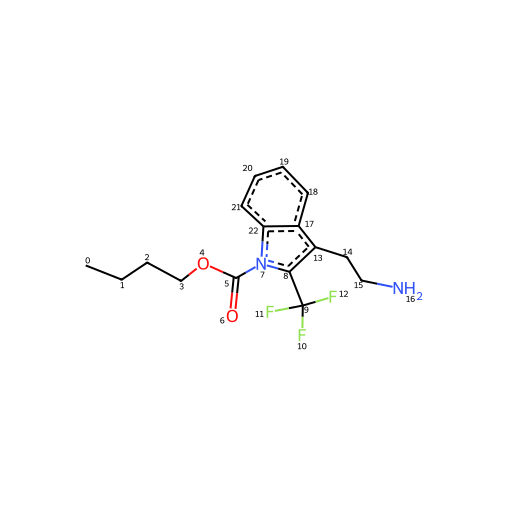 CCCCOC(=O)n1c(C(F)(F)F)c(CCN)c2ccccc21